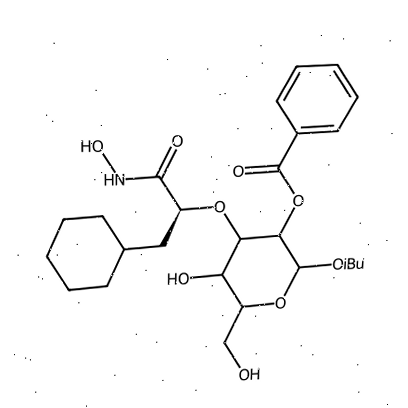 CC(C)COC1OC(CO)C(O)C(O[C@@H](CC2CCCCC2)C(=O)NO)C1OC(=O)c1ccccc1